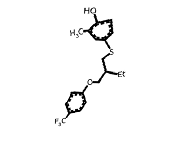 CCC(COc1ccc(C(F)(F)F)cc1)CSc1ccc(O)c(C)c1